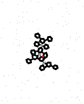 c1cccc(-c2cc(S(c3ccccc3)(c3ccccc3)c3cc(-c4ccccc4)cc(-c4ccccc4)c3)cc(-c3ccccc3)c2-n2c3c(c4cc(-n5c6ccccc6c6cc(-c7ccccc7)ccc65)ccc42)C=C(c2ccccc2)CC3)c#1